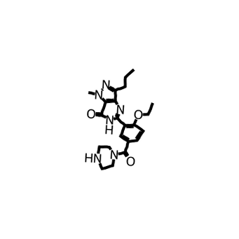 CCCc1nn(C)c2c(=O)[nH]c(-c3cc(C(=O)N4CCNCC4)ccc3OCC)nc12